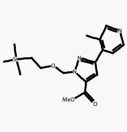 COC(=O)c1cc(-c2ccncc2C)nn1COCC[Si](C)(C)C